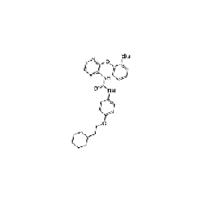 CC(C)(C)c1ccccc1Oc1ncccc1NC(=O)Nc1ccc(OCCC2CCCCC2)cc1